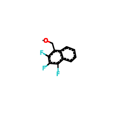 [O]Cc1c(F)c(F)c(F)c2ccccc12